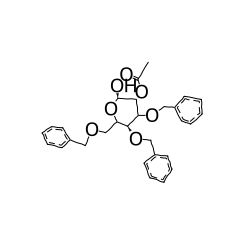 CC(=O)OC1C(OCc2ccccc2)[C@@H](OCc2ccccc2)C(COCc2ccccc2)O[C@H]1O